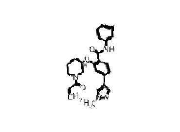 C=CC(=O)N1CCC[C@@H](Oc2cc(-c3cnn(C)c3)ccc2C(=O)Nc2ccccc2)C1